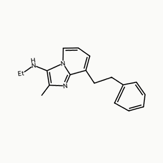 CCNc1c(C)nc2c(CCc3ccccc3)cccn12